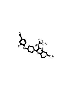 CC(C)Nc1nc2c(nc1N1CCC(Oc3ccc(C#N)cc3F)CC1)CCN(C)C2